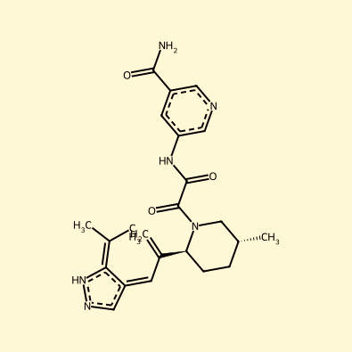 C=C(/C=c1/cn[nH]c1=C(C)C)[C@@H]1CC[C@@H](C)CN1C(=O)C(=O)Nc1cncc(C(N)=O)c1